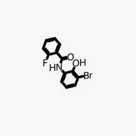 O=C(Nc1cccc(Br)c1O)c1ccccc1F